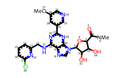 CNC(=O)C1OC(n2cnc3c(NCc4cccc(Cl)n4)nc(-c4cncc(OC)c4)nc32)C(O)C1O